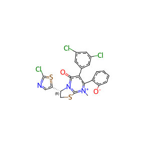 C[n+]1c(-c2ccccc2[O-])c(-c2cc(Cl)cc(Cl)c2)c(=O)n2c1SC[C@@H]2c1cnc(Cl)s1